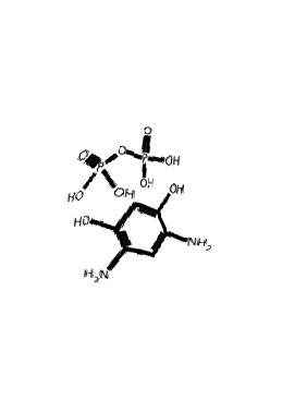 Nc1cc(N)c(O)cc1O.O=P(O)(O)OP(=O)(O)O